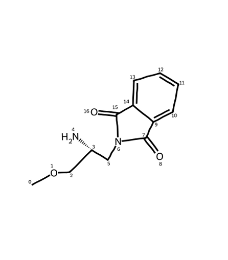 COC[C@H](N)CN1C(=O)c2ccccc2C1=O